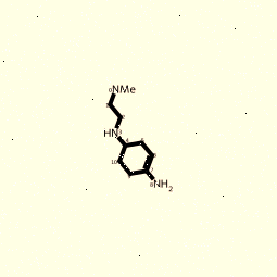 CNCCNC1CC=C(N)CC1